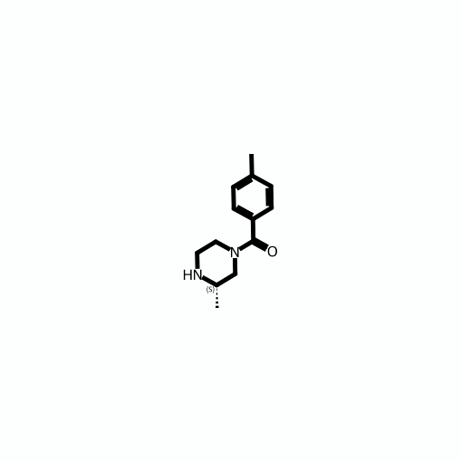 Cc1ccc(C(=O)N2CCN[C@@H](C)C2)cc1